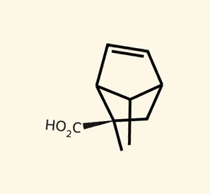 CC1C2C=CC1[C@](C)(C(=O)O)C2